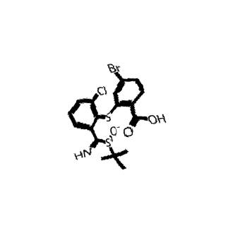 CC(C)(C)[S+]([O-])C(=N)c1cccc(Cl)c1Sc1cc(Br)ccc1C(=O)O